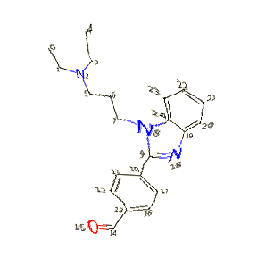 CCN(CC)CCCn1c(-c2ccc(C=O)cc2)nc2ccccc21